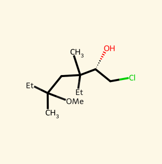 CCC(C)(CC(C)(CC)[C@H](O)CCl)OC